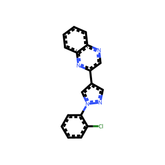 Clc1ccccc1-n1cc(-c2cnc3ccccc3n2)cn1